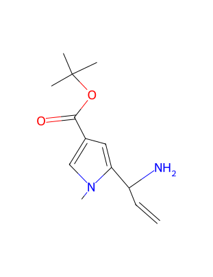 C=CC(N)c1cc(C(=O)OC(C)(C)C)cn1C